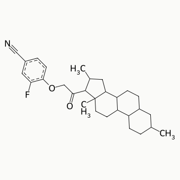 CC1CCC2C(CCC3C2CCC2(C)C3CC(C)C2C(=O)COc2ccc(C#N)cc2F)C1